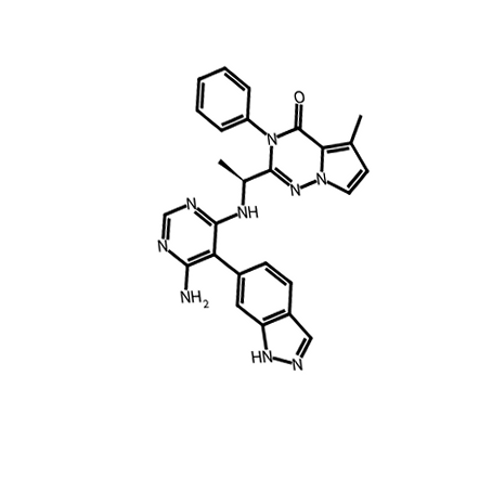 Cc1ccn2nc([C@H](C)Nc3ncnc(N)c3-c3ccc4cn[nH]c4c3)n(-c3ccccc3)c(=O)c12